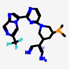 CP(C)C1CC(/C(C=N)=C/N)CN(c2ccnc(-c3cnc4cnc(C(F)(F)F)cn34)n2)C1